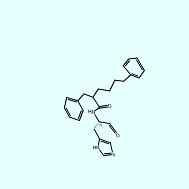 O=C[C@H](Cc1cnc[nH]1)NC(=O)C(CCCCc1ccccc1)Cc1ccccc1